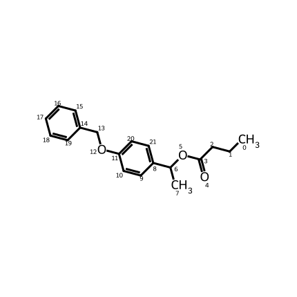 CCCC(=O)OC(C)c1ccc(OCc2ccccc2)cc1